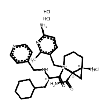 Cc1nc(N)ccc1C[N+]1(C(=O)[C@@H](CC2CCCCC2)NCc2ccncc2)CCC[C@@H]2C[C@@]21C(N)=O.Cl.Cl.Cl